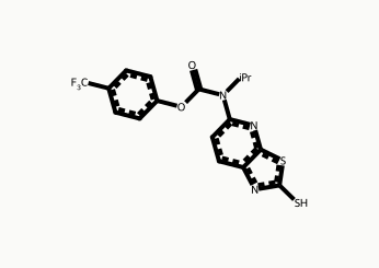 CC(C)N(C(=O)Oc1ccc(C(F)(F)F)cc1)c1ccc2nc(S)sc2n1